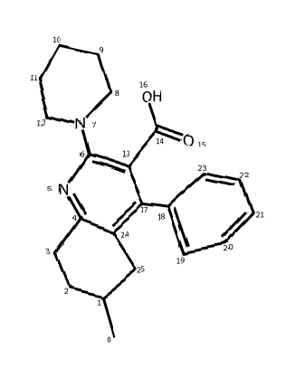 CC1CCc2nc(N3CCCCC3)c(C(=O)O)c(-c3ccccc3)c2C1